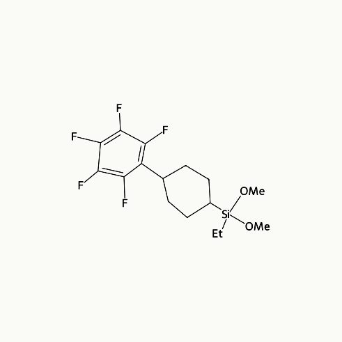 CC[Si](OC)(OC)C1CCC(c2c(F)c(F)c(F)c(F)c2F)CC1